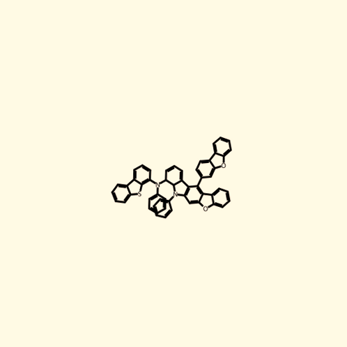 C1=CC(N(c2ccccc2)c2cccc3c2sc2ccccc23)C2C(=C1)c1c(cc3oc4ccccc4c3c1-c1ccc3c(c1)oc1ccccc13)N2c1ccccc1